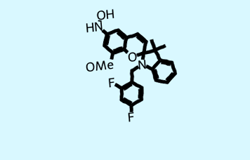 COc1cc(NO)cc2c1OC1(C=C2)N(Cc2ccc(F)cc2F)c2ccccc2C1(C)C